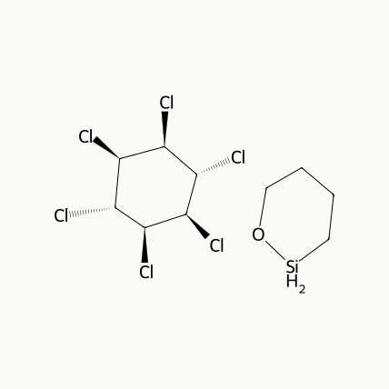 C1CC[SiH2]OC1.Cl[C@H]1[C@H](Cl)[C@@H](Cl)[C@@H](Cl)[C@H](Cl)[C@H]1Cl